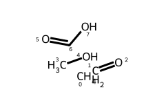 C.C=O.CO.O=CO